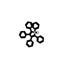 O=P1(c2ccccc2)C(c2ccccc2)=C(c2ccccc2)C(c2ccccc2)=C1c1ccccc1